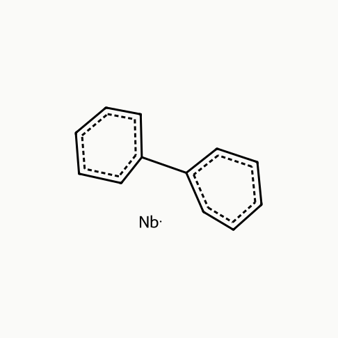 [Nb].c1ccc(-c2ccccc2)cc1